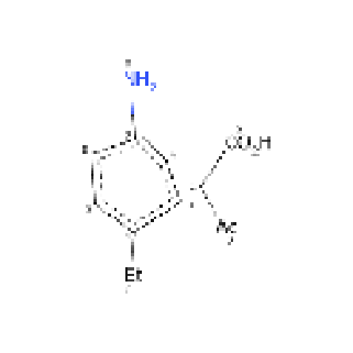 CC(=O)CC(=O)O.CCc1ccc(N)cc1